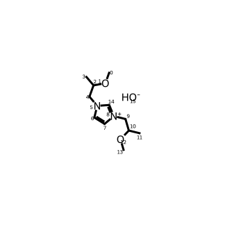 COC(C)Cn1cc[n+](CC(C)OC)c1.[OH-]